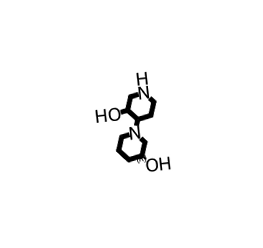 OC1CNCCC1N1CCC[C@@H](O)C1